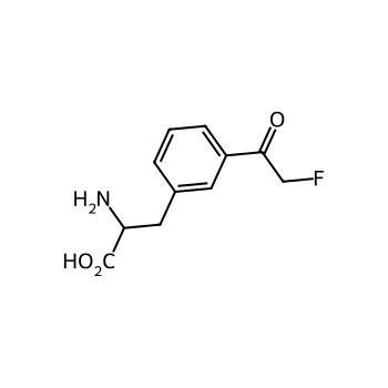 NC(Cc1cccc(C(=O)CF)c1)C(=O)O